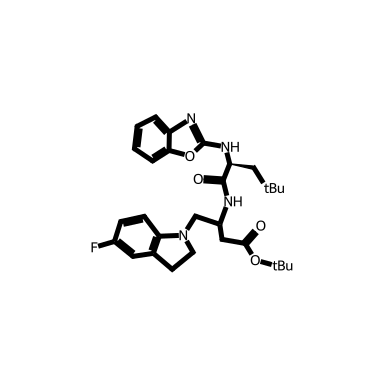 CC(C)(C)C[C@H](Nc1nc2ccccc2o1)C(=O)NC(CC(=O)OC(C)(C)C)CN1CCc2cc(F)ccc21